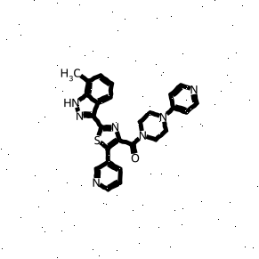 Cc1cccc2c(-c3nc(C(=O)N4CCN(c5ccncc5)CC4)c(-c4cccnc4)s3)n[nH]c12